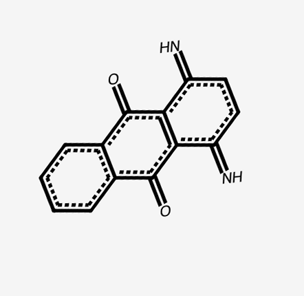 N=c1ccc(=N)c2c(=O)c3ccccc3c(=O)c1=2